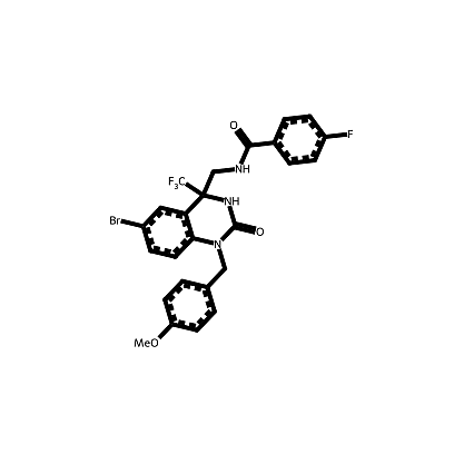 COc1ccc(CN2C(=O)NC(CNC(=O)c3ccc(F)cc3)(C(F)(F)F)c3cc(Br)ccc32)cc1